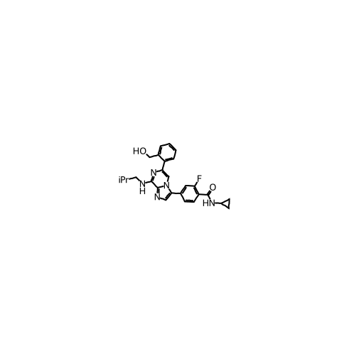 CC(C)CNc1nc(-c2ccccc2CO)cn2c(-c3ccc(C(=O)NC4CC4)c(F)c3)cnc12